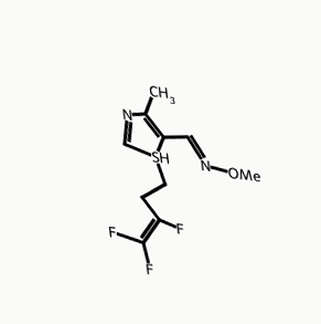 CO/N=C/C1=C(C)N=C[SH]1CCC(F)=C(F)F